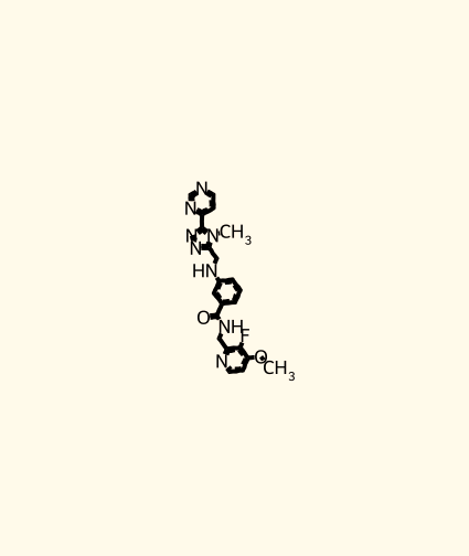 COc1ccnc(CNC(=O)c2cccc(NCc3nnc(-c4ccncn4)n3C)c2)c1F